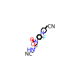 N#CC=C1CCN(c2ccc(N3C[C@H](CNCC#N)OC3=O)cc2F)CC1